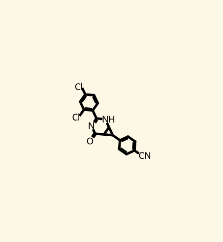 N#Cc1ccc(C2C3NC(c4ccc(Cl)cc4Cl)=NC(=O)C32)cc1